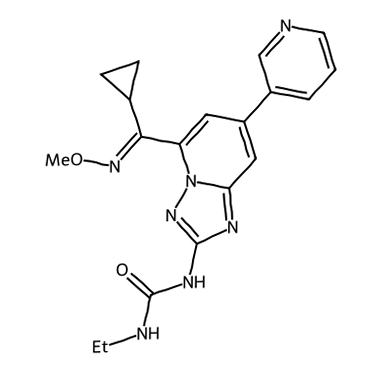 CCNC(=O)Nc1nc2cc(-c3cccnc3)cc(C(=NOC)C3CC3)n2n1